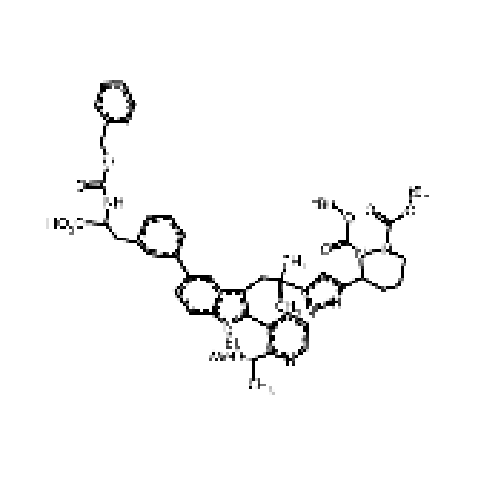 CCn1c(-c2cccnc2[C@H](C)OC)c(CC(C)(C)n2cc(C3CCCN(C(=O)OC(C)(C)C)N3C(=O)OC(C)(C)C)nn2)c2cc(-c3cccc(CC(NC(=O)OCc4ccccc4)C(=O)O)c3)ccc21